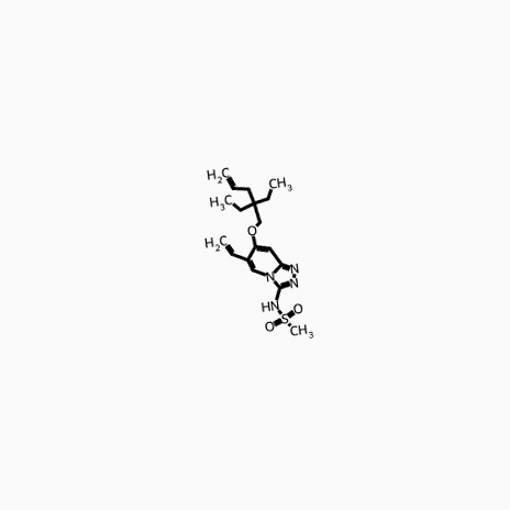 C=CCC(CC)(CC)COc1cc2nnc(NS(C)(=O)=O)n2cc1C=C